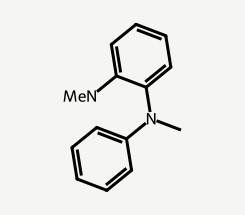 CNc1ccccc1N(C)c1ccccc1